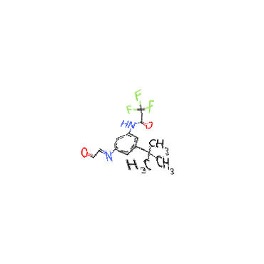 CC(C)(C)c1cc(N=CC=O)cc(NC(=O)C(F)(F)F)c1